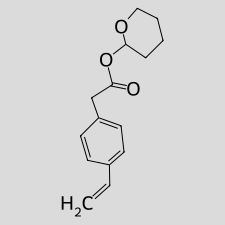 C=Cc1ccc(CC(=O)OC2CCCCO2)cc1